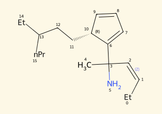 CC/C=C\C(C)(N)C1=CC=C[C@H]1CCC(CC)CCC